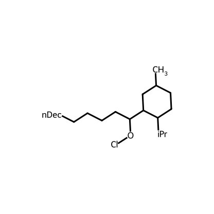 CCCCCCCCCCCCCCC(OCl)C1CC(C)CCC1C(C)C